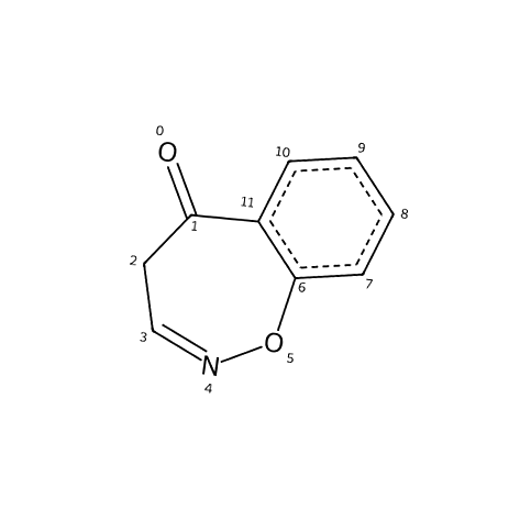 O=C1CC=NOc2ccccc21